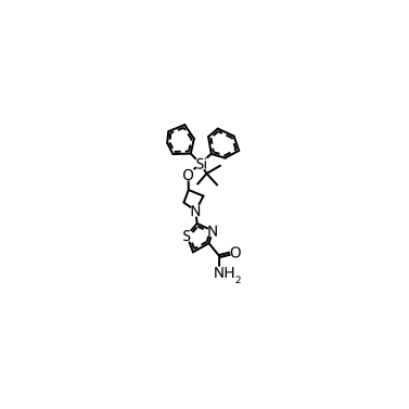 CC(C)(C)[Si](OC1CN(c2nc(C(N)=O)cs2)C1)(c1ccccc1)c1ccccc1